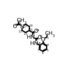 CCOc1ccccc1NC(=O)NC(=O)C1CCN(C(C)=O)CC1